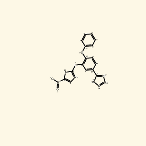 O=[N+]([O-])c1cnc(Sc2cc(-c3nnn[nH]3)ccc2Oc2ccccc2)s1